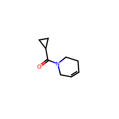 O=C(C1CC1)N1CC=CCC1